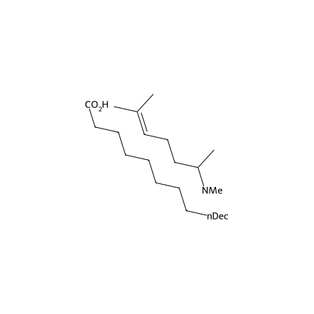 CCCCCCCCCCCCCCCCCC(=O)O.CNC(C)CCC=C(C)C